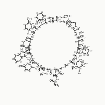 CCCC[C@H]1C(=O)N2CCC[C@@H]2C(=O)N[C@@H](CC(=O)O)C(=O)N[C@@H](C(C)C)C(=O)N(C)[C@@H](Cc2ccccc2)C(=O)N[C@@H](Cc2ccc(O)cc2)C(=O)N2CCNC[C@@H]2C(=O)N[C@@H](Cc2c[nH]c3ccccc23)C(=O)N[C@@H](Cc2ccc(O)cc2)C(=O)N[C@@H](CC(C)C)C(=O)N[C@H](C(=O)NCC(N)=O)CSCC(=O)N[C@@H](Cc2cc(F)c(F)c3c2C3)C(=O)N(C)C(Cc2ccccc2)C(=O)N1C